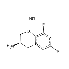 Cl.N[C@H]1COc2c(F)cc(F)cc2C1